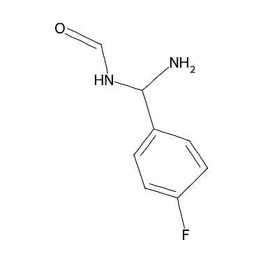 NC(NC=O)c1ccc(F)cc1